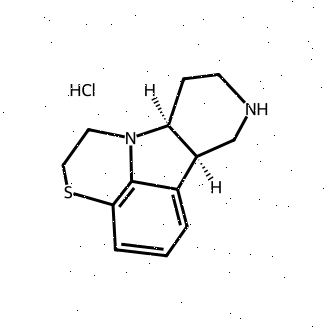 Cl.c1cc2c3c(c1)[C@@H]1CNCC[C@@H]1N3CCS2